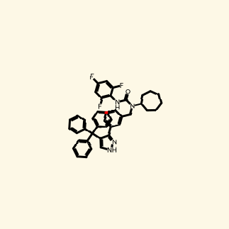 O=C(Nc1c(F)cc(F)cc1F)N(Cc1cccc(-c2n[nH]cc2C(c2ccccc2)(c2ccccc2)c2ccccc2)c1)C1CCCCCC1